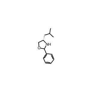 CC(C)C[C@H]1COC(c2ccccc2)N1